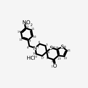 Cl.O=C1CC2(CCN(Cc3ccc([N+](=O)[O-])cc3)CC2)Sc2sccc21